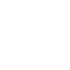 CCOC(=O)C(CCc1ccc(Cl)cc1[N+](=O)[O-])C(=O)OCC